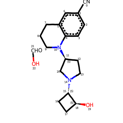 N#Cc1ccc2c(c1)CCCN2[C@H]1CCN([C@H]2CC[C@@H]2O)C1.O=CO